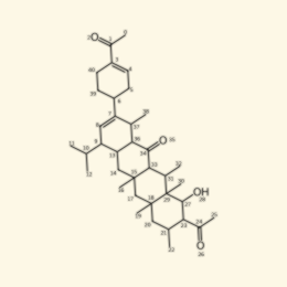 CC(=O)C1=CCC(C2=CC(C(C)C)C3CC4(C)CC5(C)CC(C)C(C(C)=O)C(O)C5(C)C(C)C4C(=O)C3C2C)CC1